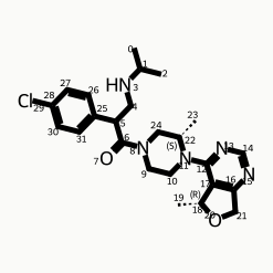 CC(C)NCC(C(=O)N1CCN(c2ncnc3c2[C@@H](C)OC3)[C@@H](C)C1)c1ccc(Cl)cc1